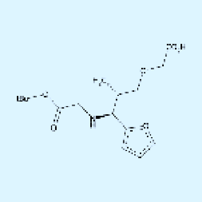 C[C@H](COCC(=O)O)[C@H](NCC(=O)OC(C)(C)C)c1ccco1